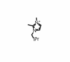 Cc1n(CC(C)C)cc[n+]1C